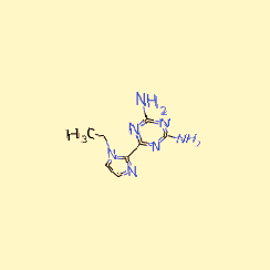 CCn1ccnc1-c1nc(N)nc(N)n1